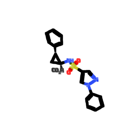 O=C(O)[C@]1(NS(=O)(=O)c2cnn(-c3ccccc3)c2)C[C@@H]1c1ccccc1